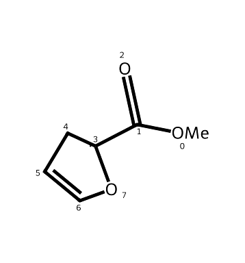 COC(=O)[C]1CC=CO1